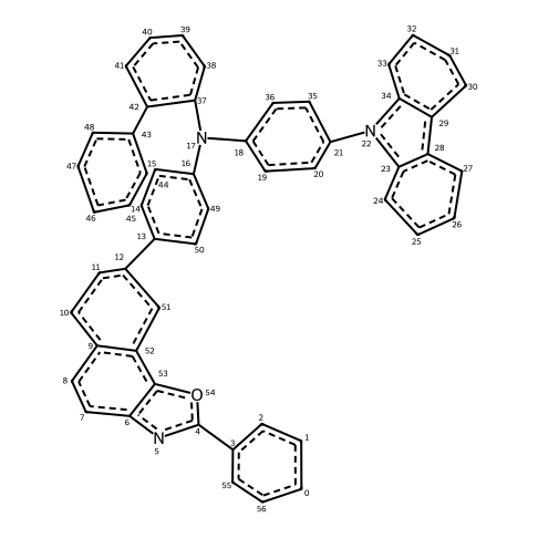 c1ccc(-c2nc3ccc4ccc(-c5ccc(N(c6ccc(-n7c8ccccc8c8ccccc87)cc6)c6ccccc6-c6ccccc6)cc5)cc4c3o2)cc1